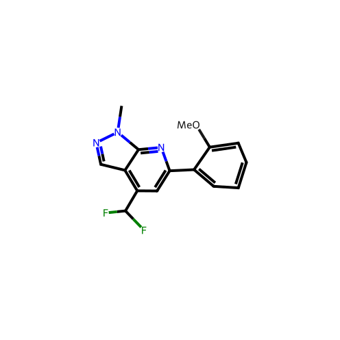 COc1ccccc1-c1cc(C(F)F)c2cnn(C)c2n1